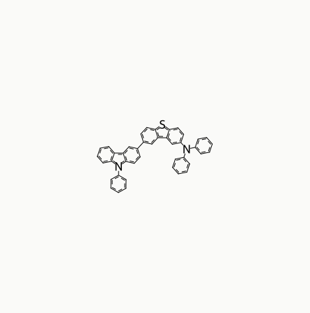 c1ccc(N(c2ccccc2)c2ccc3sc4ccc(-c5ccc6c(c5)c5ccccc5n6-c5ccccc5)cc4c3c2)cc1